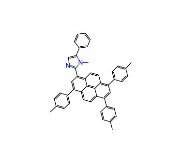 Cc1ccc(-c2cc(-c3ccc(C)cc3)c3ccc4c(-c5ncc(-c6ccccc6)n5C)cc(-c5ccc(C)cc5)c5ccc2c3c54)cc1